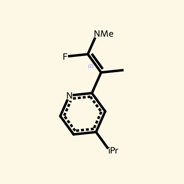 CN/C(F)=C(\C)c1cc(C(C)C)ccn1